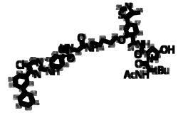 CC(=O)N[C@H](C(=O)N1C[C@H](O)C[C@H]1C(=O)N[C@@H](C)c1ccc(-c2scnc2C)cc1OCCCCCNC(=O)CNS(=O)(=O)c1ccc(Nc2ncc(Cl)c(-c3cccc(-c4ccccc4)c3)n2)cc1)C(C)(C)C